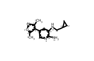 Cc1noc(C)c1-c1cnc(N)c(NCC2CC2)c1